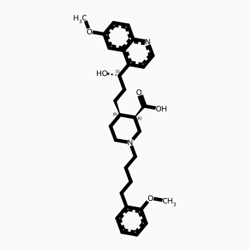 COc1ccc2nccc([C@@H](O)CC[C@@H]3CCN(CCCCc4ccccc4OC)C[C@@H]3C(=O)O)c2c1